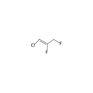 FCC(F)=CCl